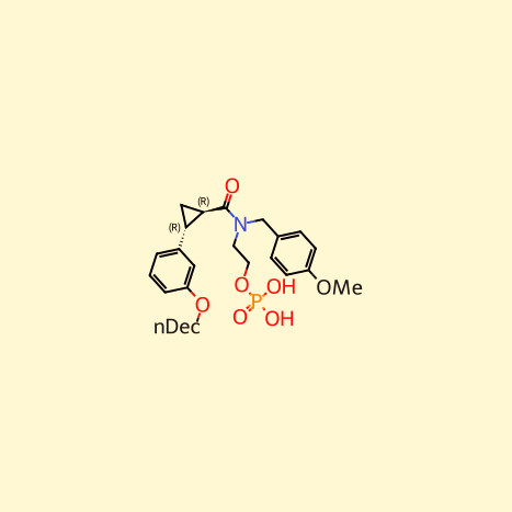 CCCCCCCCCCOc1cccc([C@@H]2C[C@H]2C(=O)N(CCOP(=O)(O)O)Cc2ccc(OC)cc2)c1